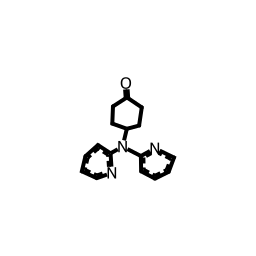 O=C1CCC(N(c2ccccn2)c2ccccn2)CC1